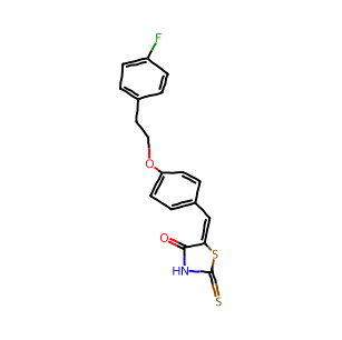 O=C1NC(=S)SC1=Cc1ccc(OCCc2ccc(F)cc2)cc1